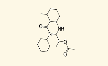 CC(=O)OC(C)C1NC2CCCC(C)C2C(=O)N1C1CCCCC1